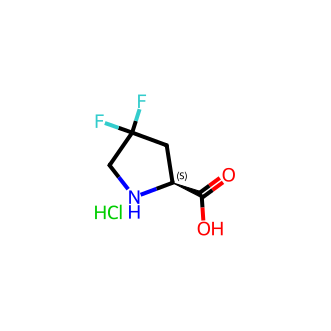 Cl.O=C(O)[C@@H]1CC(F)(F)CN1